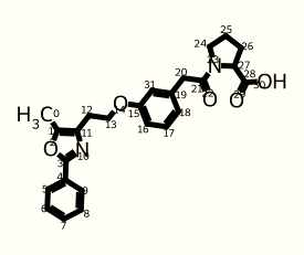 Cc1oc(-c2ccccc2)nc1CCOc1cccc(CC(=O)N2CCCC2C(=O)O)c1